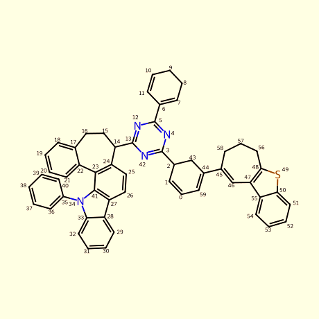 C1=CC(c2nc(C3=CCCC=C3)nc(C3CCc4ccccc4-c4c3ccc3c5ccccc5n(-c5ccccc5)c43)n2)CC(C2=Cc3c(sc4ccccc34)CCC2)=C1